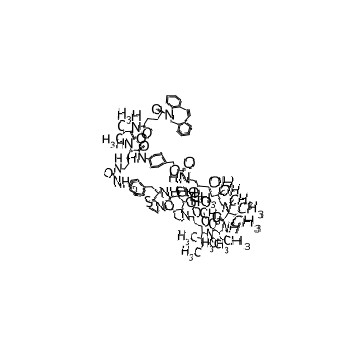 CCC(C)C(C(CC(=O)N1CCCC1C(OC)C(C)C(=O)NC(Cc1ccccc1)c1nccs1)OC)N(C)C(=O)C(NC(=O)C(C(C)C)N(C)CC(O)C(O)C(O)C(O)CNC(=O)OCc1ccc(NC(=O)C(CCCNC(N)=O)NC(=O)C(NC(=O)CCC(=O)N2Cc3ccccc3C#Cc3ccccc32)C(C)C)cc1)C(C)C